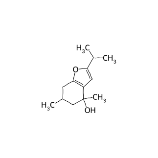 CC1Cc2oc(C(C)C)cc2C(C)(O)C1